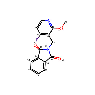 COc1nccc(I)c1CN1C(=O)c2ccccc2C1=O